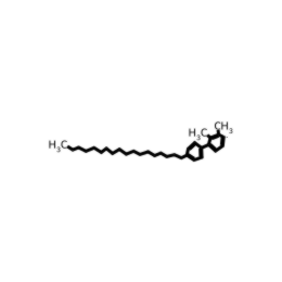 CCCCCCCCCCCCCCCCCCc1ccc(-c2cc[c]c(C)c2C)cc1